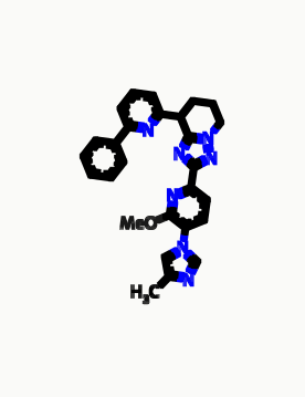 COc1nc(-c2nc3n(n2)CCCC3c2cccc(-c3ccccc3)n2)ccc1-n1cnc(C)c1